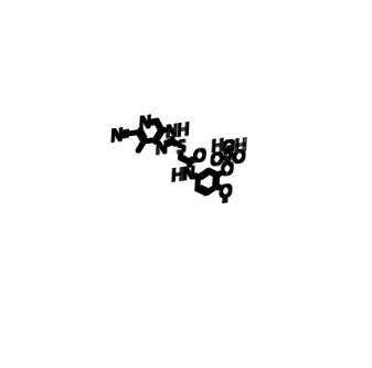 COc1ccc(NC(=O)CSc2nc3c(C)c(C#N)ncc3[nH]2)cc1OP(=O)(O)O